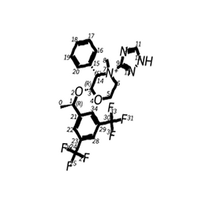 C[C@@H](O[C@H]1OCC[N+](C)(c2nc[nH]n2)[C@H]1c1ccccc1)c1cc(C(F)(F)F)cc(C(F)(F)F)c1